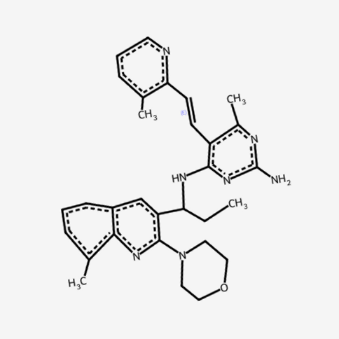 CCC(Nc1nc(N)nc(C)c1/C=C/c1ncccc1C)c1cc2cccc(C)c2nc1N1CCOCC1